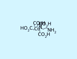 NCC[NH][Cu]([CH2]C(=O)O)([CH2]C(=O)O)([CH2]C(=O)O)[CH2]C(=O)O